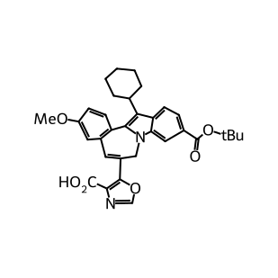 COc1ccc2c(c1)C=C(c1ocnc1C(=O)O)Cn1c-2c(C2CCCCC2)c2ccc(C(=O)OC(C)(C)C)cc21